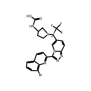 O=C(O)NC1CCN([C@H](c2ccc3nnc(-c4ccc5cccc(Br)c5n4)n3c2)C(F)(F)F)C1